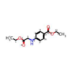 CCOC(=O)[CH]Nc1ccc(C(=O)OCC)cc1